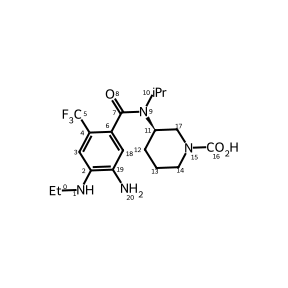 CCNc1cc(C(F)(F)F)c(C(=O)N(C(C)C)[C@@H]2CCCN(C(=O)O)C2)cc1N